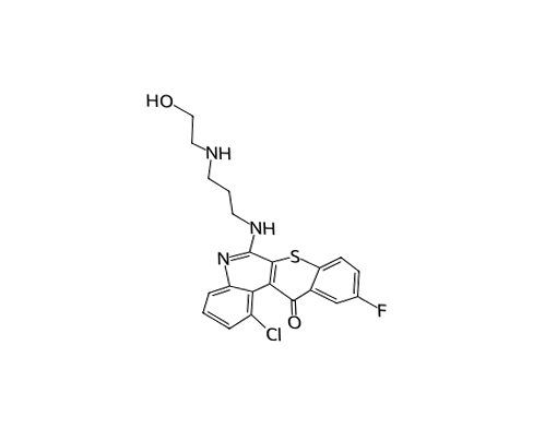 O=c1c2cc(F)ccc2sc2c(NCCCNCCO)nc3cccc(Cl)c3c12